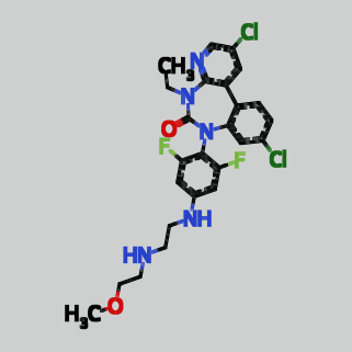 CCN1C(=O)N(c2c(F)cc(NCCNCCOC)cc2F)c2cc(Cl)ccc2-c2cc(Cl)cnc21